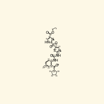 CCOC(=O)c1c[nH]c(S(=O)(=O)c2cnc(NC(=O)Nc3ccc(C)cc3C(=O)C3CCCC3)s2)n1